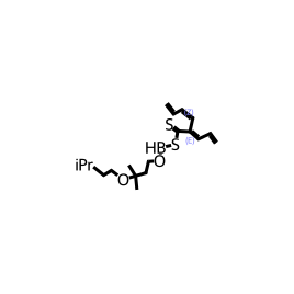 C=C/C=C\C(=C/C=C)C(=S)SBOCCC(C)(C)OCCC(C)C